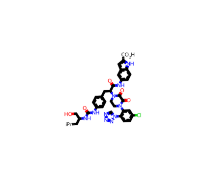 CC(C)CC(CO)NC(=O)Nc1ccc(CC(C(=O)Nc2ccc3[nH]c(C(=O)O)cc3c2)N2CCN(c3cc(Cl)ccc3-n3cnnn3)C(=O)C2=O)cc1